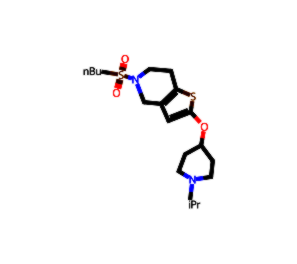 CCCCS(=O)(=O)N1CCc2sc(OC3CCN(C(C)C)CC3)cc2C1